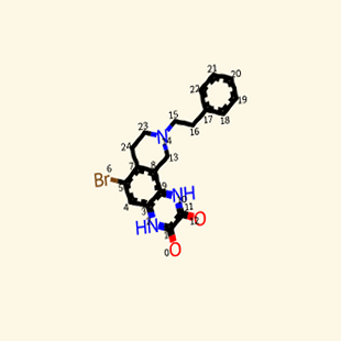 O=c1[nH]c2cc(Br)c3c(c2[nH]c1=O)CN(CCc1ccccc1)CC3